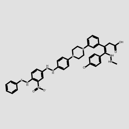 CNN/C(=C(\CC(=O)O)c1cccc(N2CCN(c3ccc(NNc4ccc(NSc5ccccc5)c([N+](=O)[O-])c4)cc3)CC2)c1)c1ccc(Cl)cc1